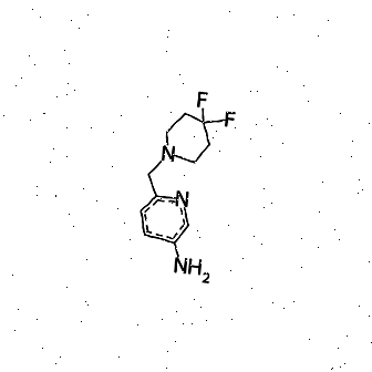 Nc1ccc(CN2CCC(F)(F)CC2)nc1